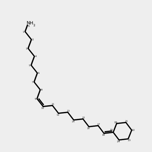 NCCCCCCCC/C=C\CCCCCCCC=C1CCCCC1